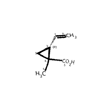 C=C[C@H]1CC1(C)C(=O)O